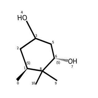 C[C@H]1CC(O)C[C@H](O)C1(C)C